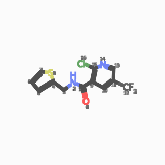 O=C(NCc1cccs1)c1cc(C(F)(F)F)cnc1Cl